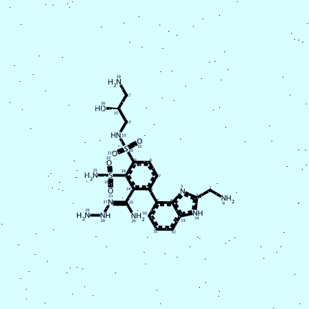 NCc1nc2c(-c3ccc(S(=O)(=O)NC[C@@H](O)CN)c(S(N)(=O)=O)c3/C(N)=N/NN)cccc2[nH]1